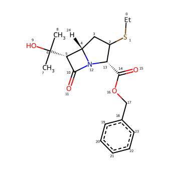 CCSC1C[C@H]2[C@@H](C(C)(C)O)C(=O)N2[C@H]1C(=O)OCc1ccccc1